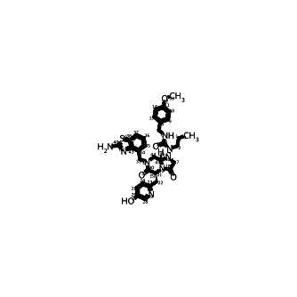 CCCN(C(=O)NCc1ccc(OC)cc1)N1CC(=O)N2[C@@H](Cc3ccc(O)cn3)C(=O)N(Cc3cccc4sc(N)nc34)C[C@@H]21